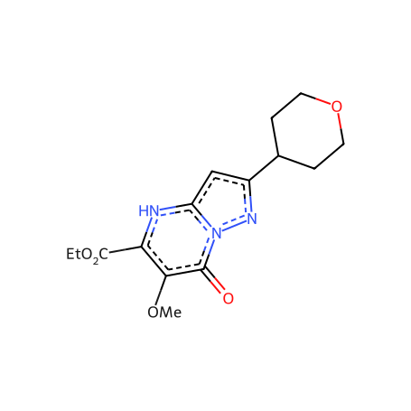 CCOC(=O)c1[nH]c2cc(C3CCOCC3)nn2c(=O)c1OC